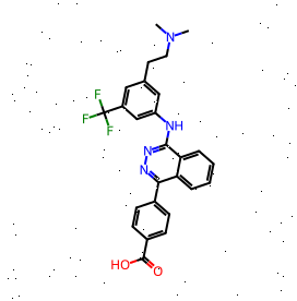 CN(C)CCc1cc(Nc2nnc(-c3ccc(C(=O)O)cc3)c3ccccc23)cc(C(F)(F)F)c1